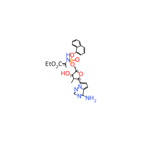 CCOC(=O)[C@H](C)NP(=O)(OC[C@H]1O[C@@H](c2ccc3c(N)ncnn23)C(C)[C@@H]1O)Oc1cccc2ccccc12